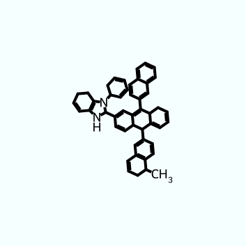 CC1CC=Cc2cc(C3C4=CC=CCC4C(c4ccc5ccccc5c4)=C4C=C(C5NC6=C(CCC=C6)N5C5C=CC=CC5)C=CC43)ccc21